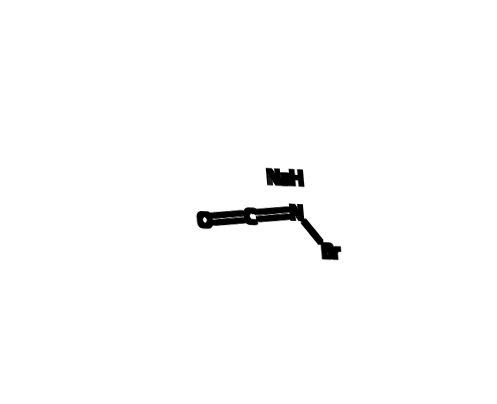 O=C=NBr.[NaH]